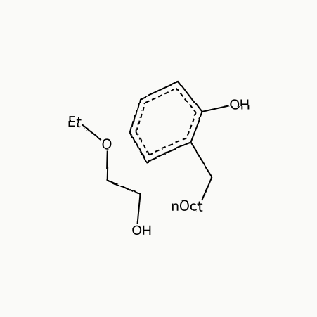 CCCCCCCCCc1ccccc1O.CCOCCO